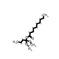 CCCCCCCCCC(=O)OC(CCC)(OC)OC